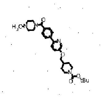 CN1CCN(C(=O)c2ccc(-c3ccc(OCC4CCN(C(=O)OC(C)(C)C)CC4)cn3)cc2)CC1